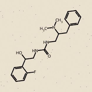 CN(C)C(CNC(=O)NCC(O)c1ccccc1F)Cc1ccccc1